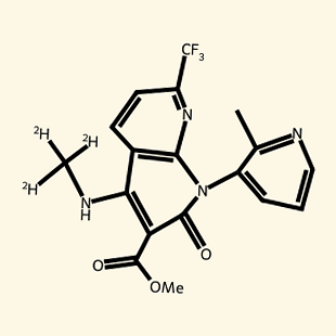 [2H]C([2H])([2H])Nc1c(C(=O)OC)c(=O)n(-c2cccnc2C)c2nc(C(F)(F)F)ccc12